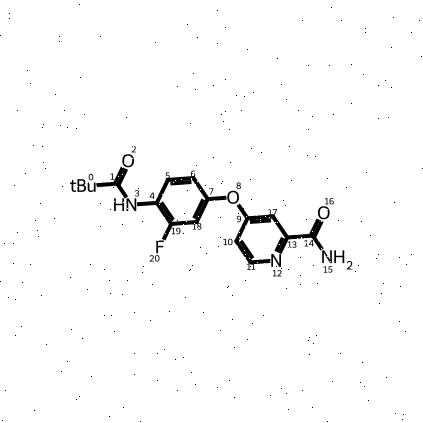 CC(C)(C)C(=O)Nc1ccc(Oc2ccnc(C(N)=O)c2)cc1F